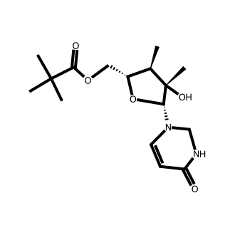 C[C@@H]1[C@@H](COC(=O)C(C)(C)C)O[C@@H](N2C=CC(=O)NC2)[C@@]1(C)O